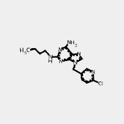 CCCCNc1nc(N)c2ncn(Cc3ccc(Cl)nc3)c2n1